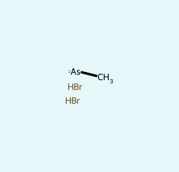 Br.Br.C[As]